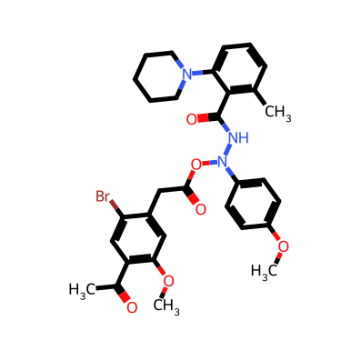 COc1ccc(N(NC(=O)c2c(C)cccc2N2CCCCC2)OC(=O)Cc2cc(OC)c(C(C)=O)cc2Br)cc1